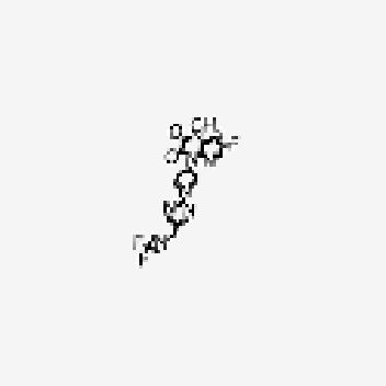 Cn1c(=O)c(=O)n(C2CCN(c3ncc(CN4CC(F)(F)C4)cn3)CC2)c2ncc(F)cc21